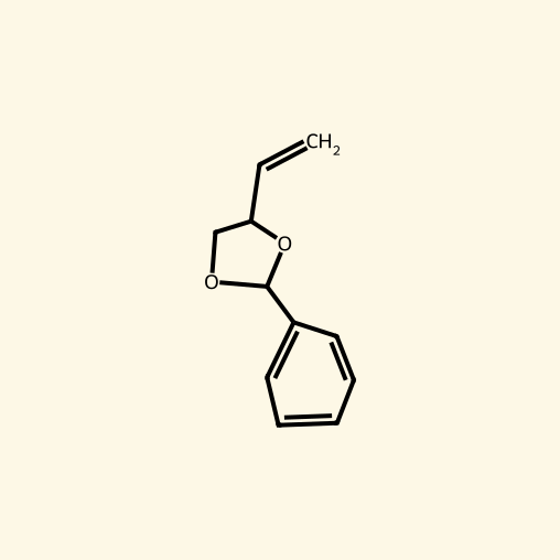 C=CC1COC(c2ccccc2)O1